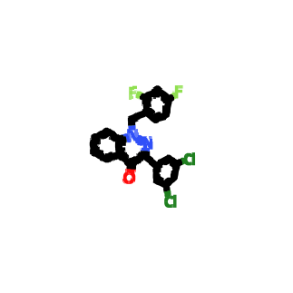 O=c1c(-c2cc(Cl)cc(Cl)c2)nn(Cc2ccc(F)cc2F)c2ccccc12